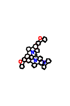 C1=CC(c2cccc(-c3ccccc3)c2N2c3cc(-n4c5ccccc5c5ccccc54)ccc3B3c4ccc(-c5ccc6oc7ccccc7c6c5)cc4N(C4C(C5CCCCC5)CCCC4C4CCCCC4)c4cc(-c5ccc6oc7ccccc7c6c5)cc2c43)=CCC1